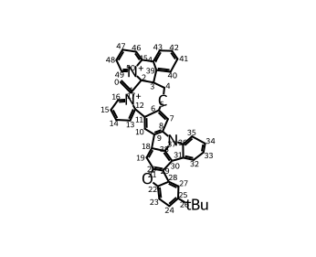 C=C1C2C(CCc3cc4c(cc3-c3cccc[n+]31)c1cc3oc5ccc(C(C)(C)C)cc5c3c3c5ccccc5n4c13)c1ccccc1-c1cccc[n+]12